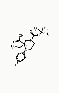 CC[C@@]1(C(=O)O)CN(C(=O)OC(C)(C)C)CC[C@H]1c1ccc(F)cc1